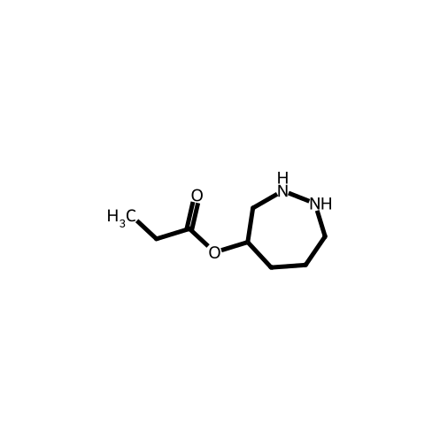 CCC(=O)OC1CCCNNC1